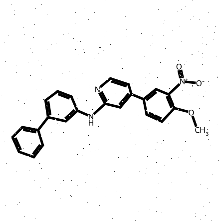 COc1ccc(-c2ccnc(Nc3cccc(-c4ccccc4)c3)c2)cc1[N+](=O)[O-]